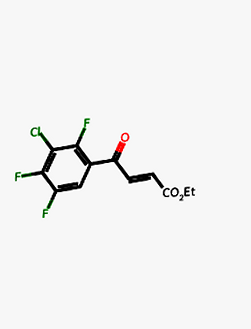 CCOC(=O)C=CC(=O)c1cc(F)c(F)c(Cl)c1F